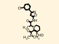 CC(C(=O)Nc1cc(-c2cccc(Cl)c2)no1)N1CCCC(C=O)=C1C(=O)N(C)C